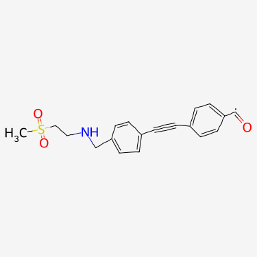 CS(=O)(=O)CCNCc1ccc(C#Cc2ccc([C]=O)cc2)cc1